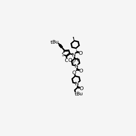 CC(C)(C)C#Cc1cc(N(C(=O)[C@H]2CC[C@H](C)CC2)C2CCN(C(=O)OC3CCN(C(=O)CC(C)(C)C)CC3)CC2)c(C(=O)O)s1